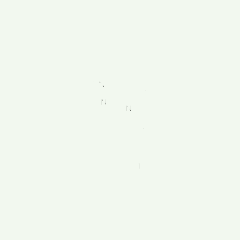 ICCn1ccnn1